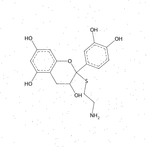 NCCSC1(c2ccc(O)c(O)c2)Oc2cc(O)cc(O)c2CC1O